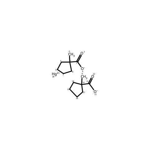 CC1(C(=O)[O-])CCCC1.CC1(C(=O)[O-])CCCC1.[Hg+2]